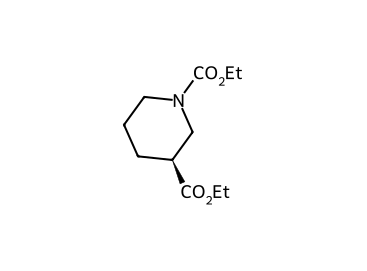 CCOC(=O)[C@H]1CCCN(C(=O)OCC)C1